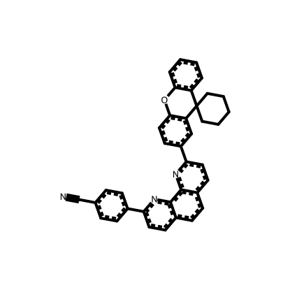 N#Cc1ccc(-c2ccc3ccc4ccc(-c5ccc6c(c5)C5(CCCCC5)c5ccccc5O6)nc4c3n2)cc1